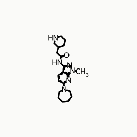 Cn1nc(NC(=O)CC2CCCNC2)c2ccc(N3CCCCCC3)nc21